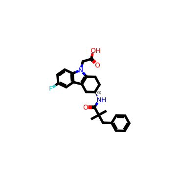 CC(C)(Cc1ccccc1)C(=O)N[C@H]1CCc2c(c3cc(F)ccc3n2CC(=O)O)C1